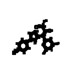 Cc1cc(C)cc(N(C(=O)C(F)Cl)c2nc(-c3ccc(Br)cc3)cs2)c1